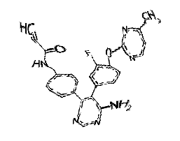 C#CC(=O)Nc1ccc(-c2ncnc(N)c2-c2ccc(Oc3nccc(C)n3)c(F)c2)cc1